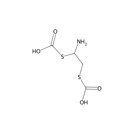 NC(CSC(=O)O)SC(=O)O